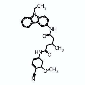 CCn1c2ccccc2c2cc(NC(=O)CC(C)CC(=O)NC3=CC=C(C#N)C(OC)C3)ccc21